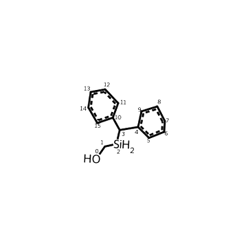 OC[SiH2]C(c1ccccc1)c1ccccc1